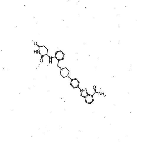 NC(=O)c1cccc2cn(-c3ccc(N4CCN(Cc5ccccc5NC5CCC(=O)NC5=O)CC4)cc3)nc12